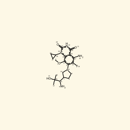 COc1c(N2CCC(C(N)C(C)(C)O)C2)c(F)c(N)c2c(=O)[nH]c(=O)n(C3CC3)c12